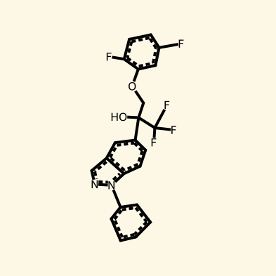 OC(COc1cc(F)ccc1F)(c1ccc2c(cnn2-c2ccccc2)c1)C(F)(F)F